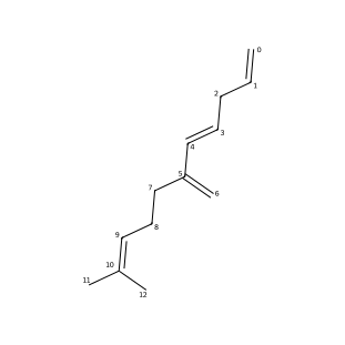 C=CC/C=C/C(=C)CCC=C(C)C